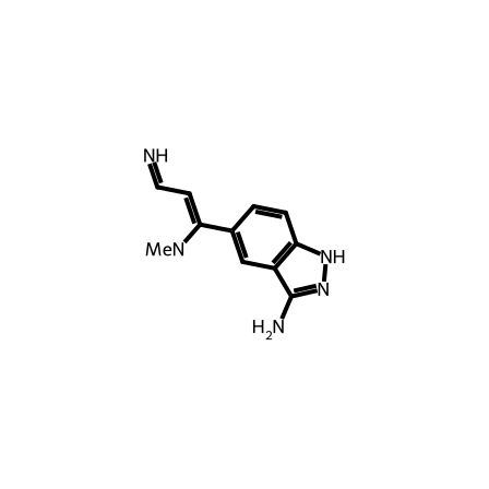 CN/C(=C\C=N)c1ccc2[nH]nc(N)c2c1